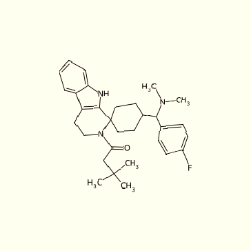 CN(C)C(c1ccc(F)cc1)C1CCC2(CC1)c1[nH]c3ccccc3c1CCN2C(=O)CC(C)(C)C